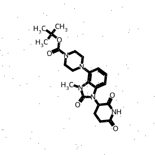 Cn1c(=O)n(C2CCC(=O)NC2=O)c2cccc(N3CCN(C(=O)OC(C)(C)C)CC3)c21